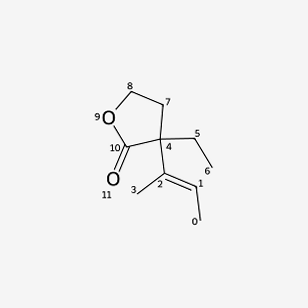 CC=C(C)C1(CC)CCOC1=O